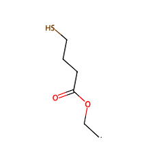 [CH2]COC(=O)CCCS